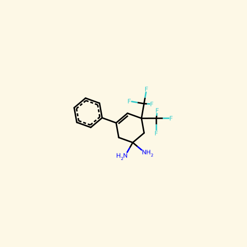 NC1(N)CC(c2ccccc2)=CC(C(F)(F)F)(C(F)(F)F)C1